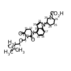 C[Si](C)(C)CCOCN1C(=O)CCN(c2cccc3c2ccn3C2CCCN(C(=O)O)C2)C1=O